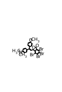 COc1ccc(C(=CC2OC(=O)c3c(Br)c(Br)c(Br)c(Br)c32)c2ccc(N(C)C)cc2)cc1